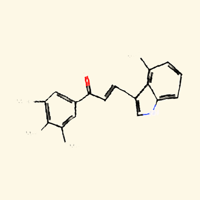 COc1cc(C(=O)C=Cc2c[nH]c3cccc(OC)c23)cc(OC)c1OC